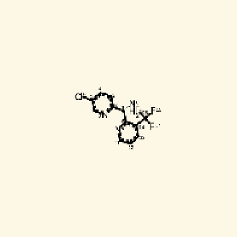 N[C@@H](c1ccc(Cl)cn1)c1ncccc1C(F)(F)F